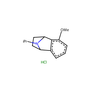 COc1cccc2c1C1CCC2N1C(C)C.Cl